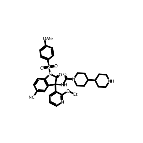 CCOc1ncccc1C1(NC(=O)N2CCC(C3CCNCC3)CC2)C(=O)N(S(=O)(=O)c2ccc(OC)cc2)c2ccc(C#N)cc21